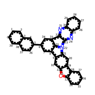 c1ccc2cc(-c3cc4c5cc6oc7ccccc7c6cc5n5c6nc7ccccc7nc6c(c3)c45)ccc2c1